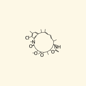 C=C1NC2(C)CC(O1)C(C)C1OC1(C)C(OC)CC(=O)N(C)c1cc(cc(C)c1Cl)C(C)/C(C)=C/C=C/C2C